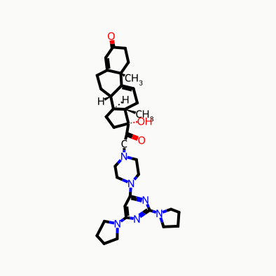 C[C@]12CCC(=O)C=C1CC[C@@H]1C2=CC[C@@]2(C)[C@H]1CC[C@]2(O)C(=O)CN1CCN(c2cc(N3CCCC3)nc(N3CCCC3)n2)CC1